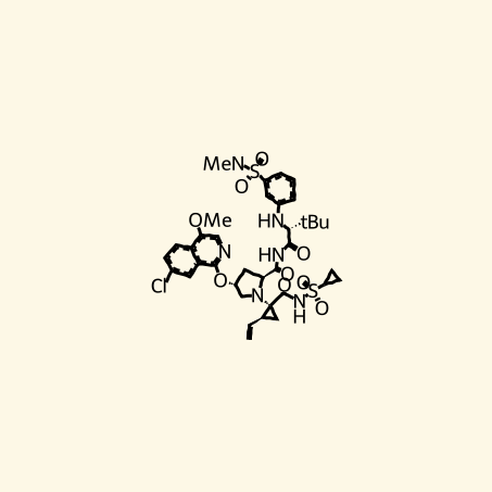 C=C[C@@H]1C[C@@]1(C(=O)NS(=O)(=O)C1CC1)N1C[C@H](Oc2ncc(OC)c3ccc(Cl)cc23)C[C@H]1C(=O)NC(=O)[C@H](Nc1cccc(S(=O)(=O)NC)c1)C(C)(C)C